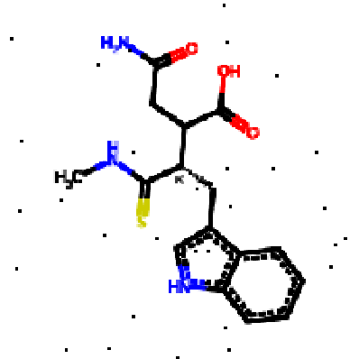 CNC(=S)[C@@H](Cc1c[nH]c2ccccc12)C(CC(N)=O)C(=O)O